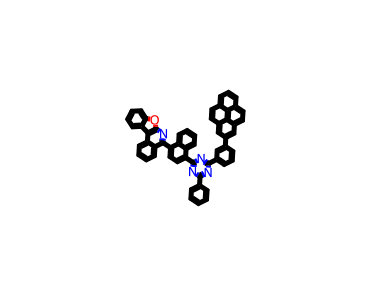 c1ccc(-c2nc(-c3cccc(-c4cc5ccc6cccc7ccc(c4)c5c67)c3)nc(-c3ccc(-c4nc5oc6ccccc6c5c5ccccc45)c4ccccc34)n2)cc1